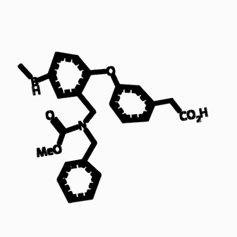 CBc1ccc(Oc2cccc(CC(=O)O)c2)c(CN(Cc2ccccc2)C(=O)OC)c1